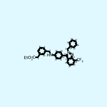 CCOC(=O)Cc1cccc(CNc2ccc(-c3c4cccc(C(F)(F)F)c4nn3Cc3ccccc3)cc2)c1